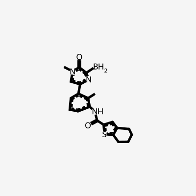 Bc1nc(-c2cccc(NC(=O)c3cc4c(s3)CCCC4)c2C)cn(C)c1=O